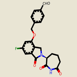 O=Cc1ccc(COc2cc(F)cc3c2CN([C@H]2CCCC(=O)NC2=O)C3=O)cc1